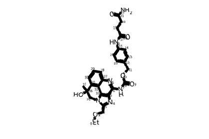 CCOCc1nc2c(NC(=O)OCc3ccc(NC(=O)CCC(N)=O)cc3)nc3cccc4c3c2n1CC4(C)O